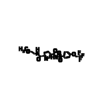 COCCNC(=O)c1ccc(C(=O)NS(=O)(=O)c2ccc(OCC(F)(F)F)cc2)cn1